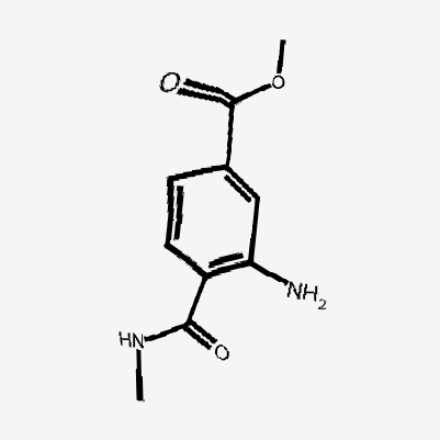 CNC(=O)c1ccc(C(=O)OC)cc1N